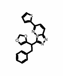 C1=C(C(Cc2ccccc2)c2nnc3ccc(-c4cccs4)nn23)OCO1